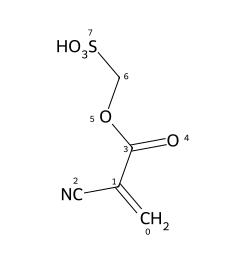 C=C(C#N)C(=O)OCS(=O)(=O)O